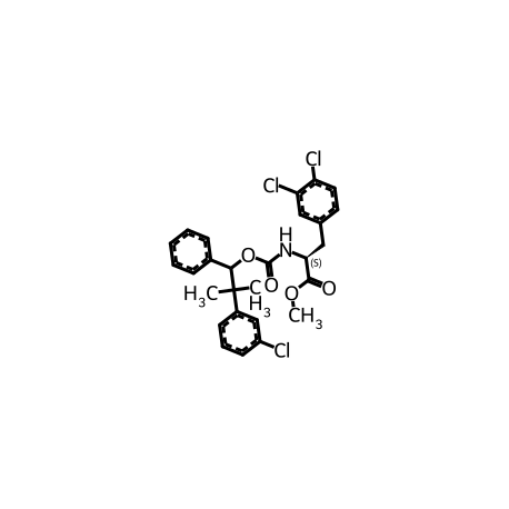 COC(=O)[C@H](Cc1ccc(Cl)c(Cl)c1)NC(=O)OC(c1ccccc1)C(C)(C)c1cccc(Cl)c1